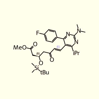 COC(=O)C[C@@H](CC(=O)/C=C/c1c(-c2ccc(F)cc2)nc(N(C)C)nc1C(C)C)O[Si](C)(C)C(C)(C)C